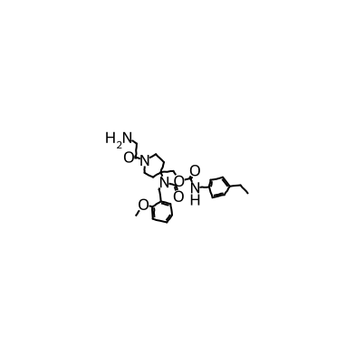 CCc1ccc(NC(=O)OCC2(N(C=O)Cc3ccccc3OC)CCN(C(=O)CN)CC2)cc1